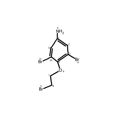 Nc1cc(Br)c(OCCBr)c(Br)c1